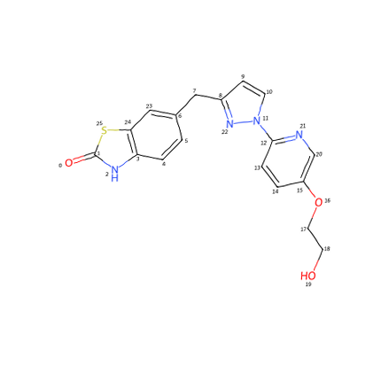 O=c1[nH]c2ccc(Cc3ccn(-c4ccc(OCCO)cn4)n3)cc2s1